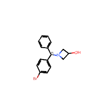 OC1CN([C@H](c2ccccc2)c2ccc(Br)cc2)C1